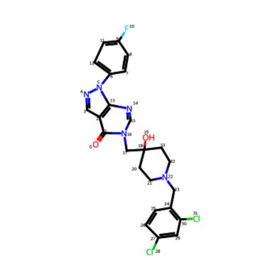 O=c1c2cnn(-c3ccc(F)cc3)c2ncn1CC1(O)CCN(Cc2ccc(Cl)cc2Cl)CC1